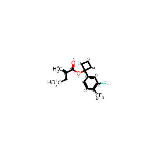 C=C(CC(=O)O)C(=O)OC1(c2ccc(C(F)(F)F)c(F)c2)CCC1